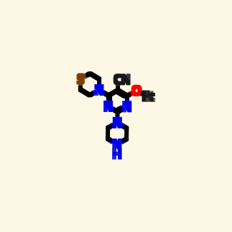 CCOc1nc(N2CCNCC2)nc(N2CCSCC2)c1C#N